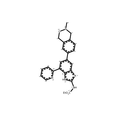 CCOC(=O)Nc1nc2cc(-c3ccc4c(c3)CON(C)C4)cc(-c3ccccn3)c2[nH]1